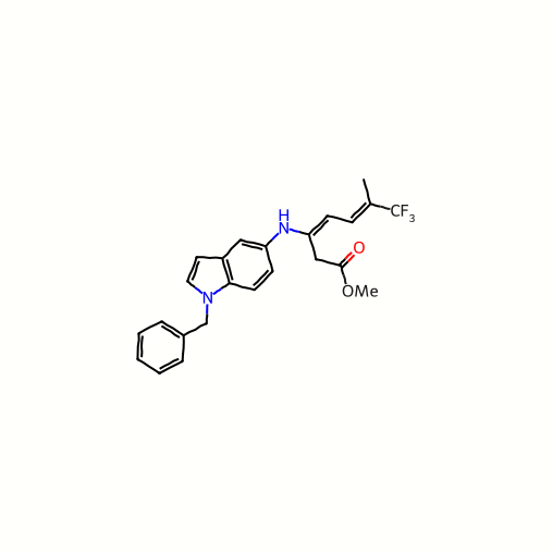 COC(=O)C/C(=C\C=C(/C)C(F)(F)F)Nc1ccc2c(ccn2Cc2ccccc2)c1